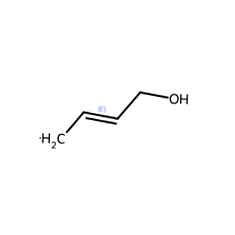 [CH2]/C=C/CO